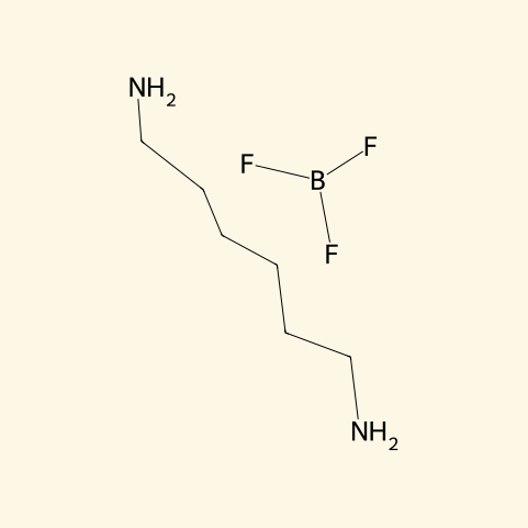 FB(F)F.NCCCCCCN